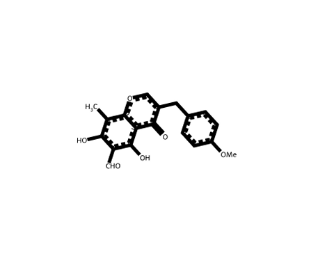 COc1ccc(Cc2coc3c(C)c(O)c(C=O)c(O)c3c2=O)cc1